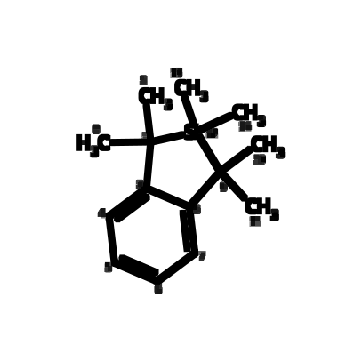 CC1(C)c2ccccc2C(C)(C)[Si]1(C)C